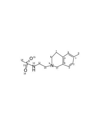 Cc1ccc2c(c1)CCN(CCNS(C)(=O)=O)C2